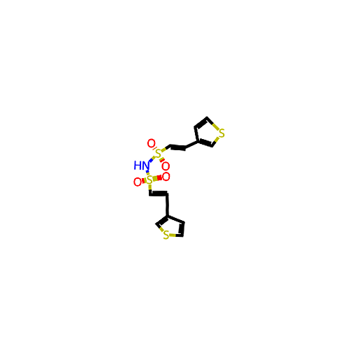 O=S(=O)(C=Cc1ccsc1)NS(=O)(=O)C=Cc1ccsc1